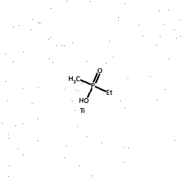 CCP(C)(=O)O.[Ti]